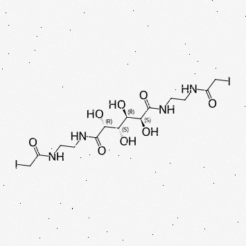 O=C(CI)NCCNC(=O)[C@@H](O)[C@H](O)[C@H](O)[C@@H](O)C(=O)NCCNC(=O)CI